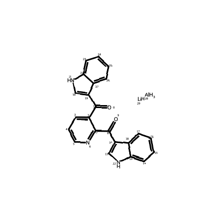 O=C(c1cccnc1C(=O)c1c[nH]c2ccccc12)c1c[nH]c2ccccc12.[AlH3].[LiH]